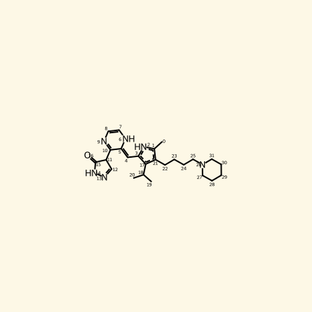 Cc1[nH]c(C=C2NC=CN=C2C2C=NNC2=O)c(C(C)C)c1CCCCN1CCCCC1